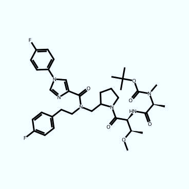 CO[C@H](C)[C@H](NC(=O)[C@H](C)N(C)C(=O)OC(C)(C)C)C(=O)N1CCCC1CN(CCc1ccc(F)cc1)C(=O)c1cn(-c2ccc(F)cc2)cn1